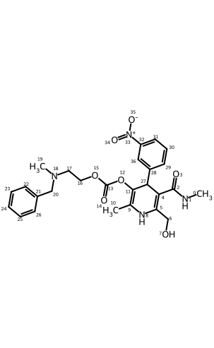 CNC(=O)C1=C(CO)NC(C)=C(OC(=O)OCCN(C)Cc2ccccc2)C1c1cccc([N+](=O)[O-])c1